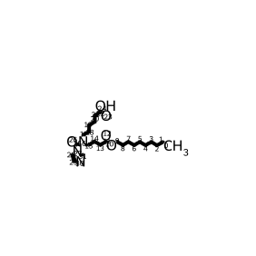 CCCCCCCCCCOC(=O)CCCN(CCCCCC(=O)O)C(=O)n1ccnc1